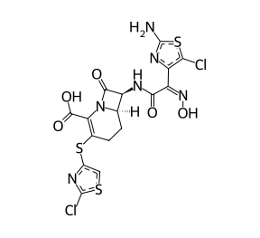 Nc1nc(/C(=N/O)C(=O)N[C@@H]2C(=O)N3C(C(=O)O)=C(Sc4csc(Cl)n4)CC[C@H]23)c(Cl)s1